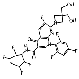 O=C(NC(C(F)CF)C(F)C(F)F)c1cn(-c2c(F)cc(F)cc2F)c2nc(N3CC(CO)(CO)C3)c(F)cc2c1=O